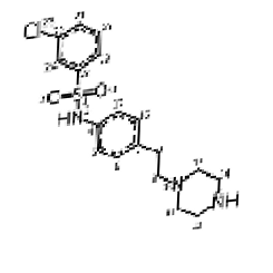 O=S(=O)(Nc1ccc(CCN2CCNCC2)cc1)c1cccc(Cl)c1